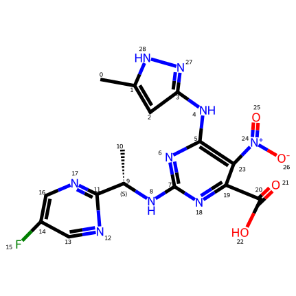 Cc1cc(Nc2nc(N[C@@H](C)c3ncc(F)cn3)nc(C(=O)O)c2[N+](=O)[O-])n[nH]1